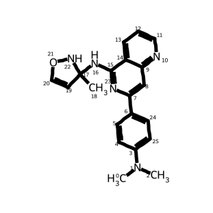 CN(C)c1ccc(-c2cc3ncccc3c(NC3(C)C=CON3)n2)cc1